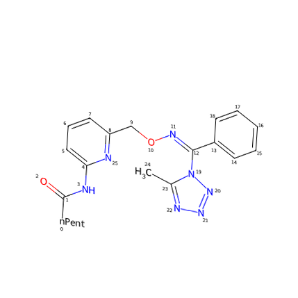 CCCCCC(=O)Nc1cccc(CON=C(c2ccccc2)n2nnnc2C)n1